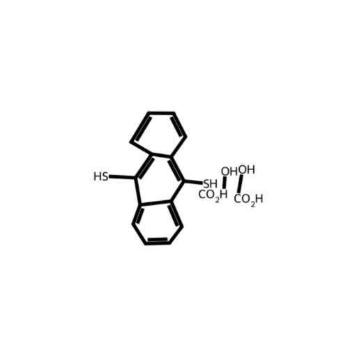 O=C(O)O.O=C(O)O.Sc1c2ccccc2c(S)c2ccccc12